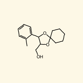 Cc1ccccc1C1OC2(CCCCC2)OC1CO